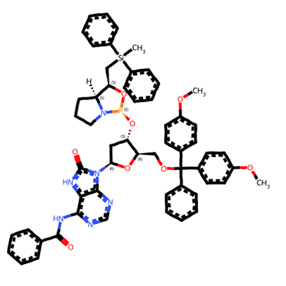 COc1ccc(C(OC[C@H]2O[C@@H](n3c(=O)[nH]c4c(NC(=O)c5ccccc5)ncnc43)C[C@@H]2O[P@]2O[C@H](C[Si](C)(c3ccccc3)c3ccccc3)[C@@H]3CCCN32)(c2ccccc2)c2ccc(OC)cc2)cc1